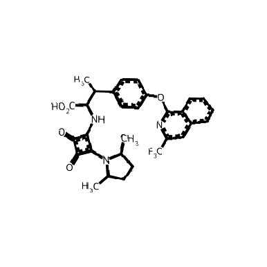 CC(c1ccc(Oc2nc(C(F)(F)F)cc3ccccc23)cc1)C(Nc1c(N2C(C)CCC2C)c(=O)c1=O)C(=O)O